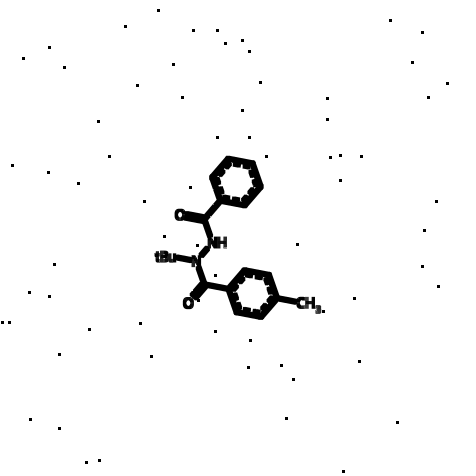 Cc1ccc(C(=O)N(NC(=O)c2ccccc2)C(C)(C)C)cc1